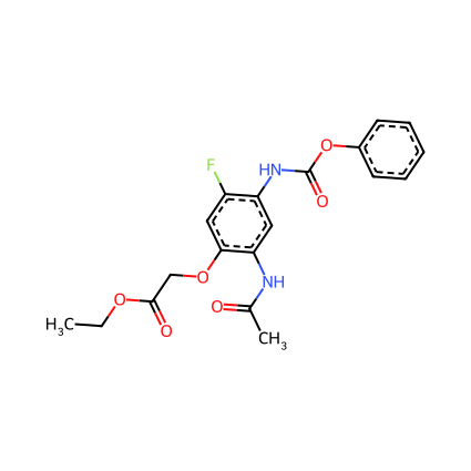 CCOC(=O)COc1cc(F)c(NC(=O)Oc2ccccc2)cc1NC(C)=O